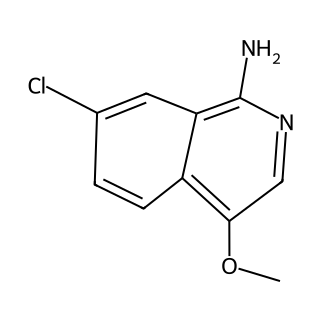 COc1cnc(N)c2cc(Cl)ccc12